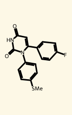 CSc1ccc(-n2c(-c3ccc(F)cc3)cc(=O)[nH]c2=O)cc1